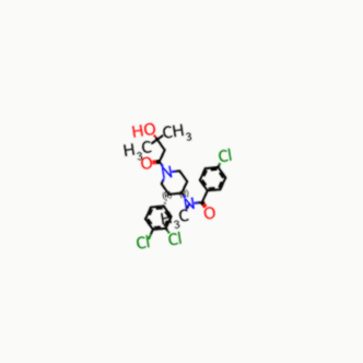 CN(C(=O)c1ccc(Cl)cc1)[C@@H]1CCN(C(=O)CC(C)(C)O)C[C@H]1c1ccc(Cl)c(Cl)c1